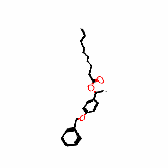 [CH2]C(OC(=O)CCCCCCCCC)c1ccc(OCc2ccccc2)cc1